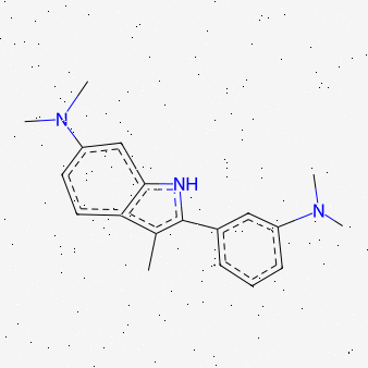 Cc1c(-c2[c]ccc(N(C)C)c2)[nH]c2cc(N(C)C)ccc12